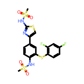 CS(=O)(=O)Nc1nc(-c2ccc(NS(C)(=O)=O)c(Sc3ccc(F)cc3F)c2)cs1